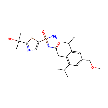 COCc1cc(C(C)C)c(CC(=O)N=S(N)(=O)c2cnc(C(C)(C)O)s2)c(C(C)C)c1